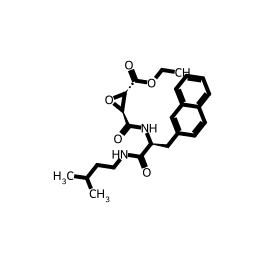 CCOC(=O)[C@H]1O[C@@H]1C(=O)N[C@@H](Cc1ccc2ccccc2c1)C(=O)NCCC(C)C